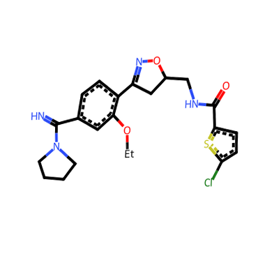 CCOc1cc(C(=N)N2CCCC2)ccc1C1=NOC(CNC(=O)c2ccc(Cl)s2)C1